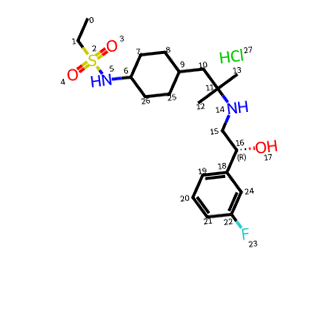 CCS(=O)(=O)NC1CCC(CC(C)(C)NC[C@H](O)c2cccc(F)c2)CC1.Cl